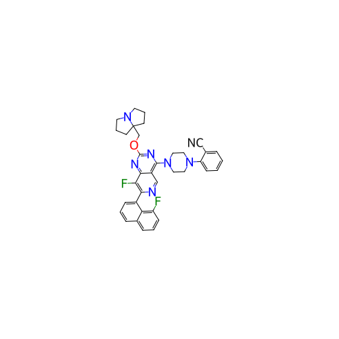 N#Cc1ccccc1N1CCN(c2nc(OCC34CCCN3CCC4)nc3c(F)c(-c4cccc5cccc(F)c45)ncc23)CC1